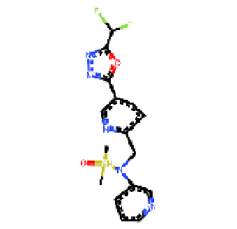 C[SH](C)(=O)N(Cc1ccc(-c2nnc(C(F)F)o2)cn1)c1cccnc1